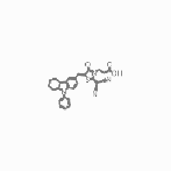 N#CC(C#N)=c1s/c(=C\c2ccc3c(c2)C2CCCCC2N3c2ccccc2)c(=O)n1CCC(=O)O